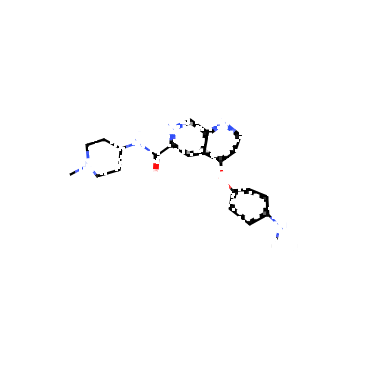 CN1CCC(NC(=O)c2cc3c(Oc4ccc(NC=O)cc4)ccnc3cn2)CC1